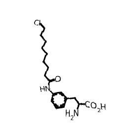 NC(Cc1cccc(NC(=O)CCCCCCCCCl)c1)C(=O)O